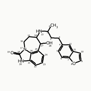 CC(CCc1ccc2occc2c1)NC1CCn2c(=O)[nH]c3cccc(c32)C1O